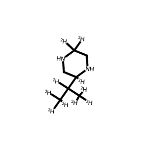 [2H]C1([2H])CNC([2H])(C([2H])(C([2H])([2H])[2H])C([2H])([2H])[2H])CN1